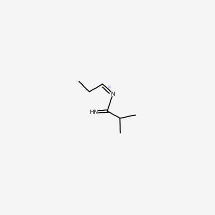 CC/C=N\C(=N)C(C)C